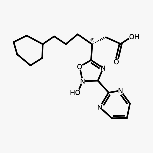 O=C(O)C[C@@H](CCCC1CCCCC1)C1=NC(c2ncccn2)N(O)O1